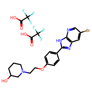 O=C(O)C(F)(F)F.O=C(O)C(F)(F)F.OC1CCCN(CCOc2ccc(-c3nc4cc(Br)cnc4[nH]3)cc2)C1